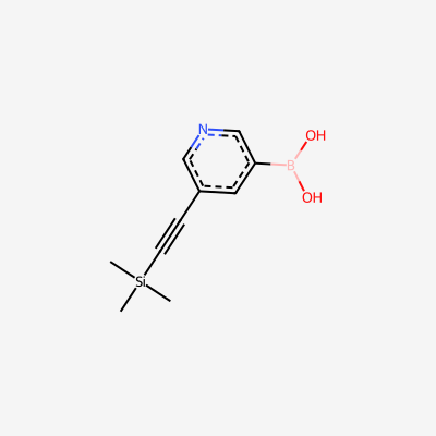 C[Si](C)(C)C#Cc1cncc(B(O)O)c1